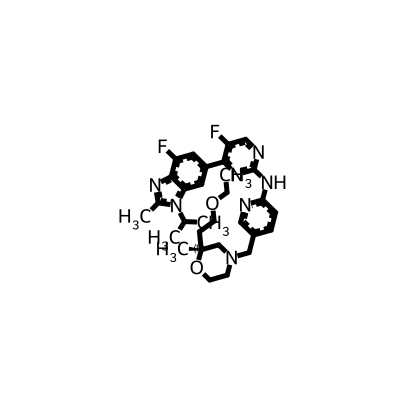 CCOCC[C@]1(C)CN(Cc2ccc(Nc3ncc(F)c(-c4cc(F)c5nc(C)n(C(C)C)c5c4)n3)nc2)CCO1